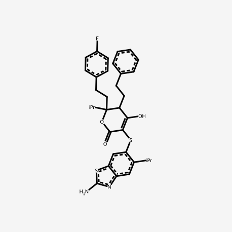 CC(C)c1cc2nc(N)sc2cc1SC1=C(O)C(CCc2ccccc2)C(CCc2ccc(F)cc2)(C(C)C)OC1=O